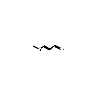 CS/C=C/C=O